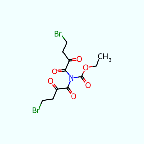 CCOC(=O)N(C(=O)C(=O)CCBr)C(=O)C(=O)CCBr